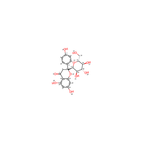 O=C1CC(c2ccc(O)cc2)([C@H]2O[C@H](CO)[C@@H](O)[C@H](O)[C@H]2O)Oc2cc(O)cc(O)c21